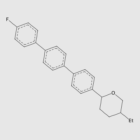 CCC1CCC(c2ccc(-c3ccc(-c4ccc(F)cc4)cc3)cc2)OC1